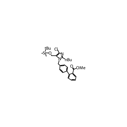 CCCCc1nc(Cl)c(CO[Si](C)(C)C(C)(C)C)n1Cc1ccc(-c2ccccc2C(=O)OC)cc1